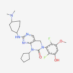 COc1cc(O)c(F)c(N2Cc3cnc(NC4CCC(N(C)C)CC4)nc3N(C3CCCC3)C2=O)c1F